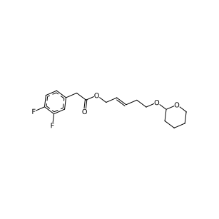 O=C(Cc1ccc(F)c(F)c1)OCC=CCCOC1CCCCO1